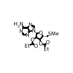 CCC(=O)OC1C(OC(=O)CC)[C@@H](CSC)O[C@H]1n1cnc2c(N)ncnc21